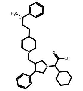 C[C@@H](CCC1CCN(CC2CN(C(C(=O)O)C3CCCCC3)CC2c2ccccc2)CC1)c1ccccc1